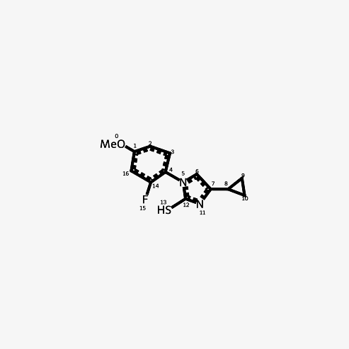 COc1[c]cc(-n2cc(C3CC3)nc2S)c(F)c1